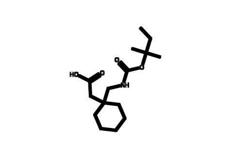 CCC(C)(C)OC(=O)NCC1(CC(=O)O)CCCCC1